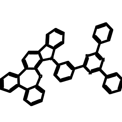 c1ccc(-c2nc(-c3ccccc3)nc(-c3cccc(-n4c5ccccc5c5ccc6c(c54)Oc4ccccc4-c4ccccc4-6)c3)n2)cc1